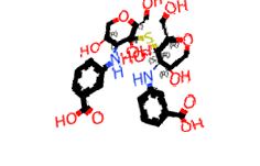 O=C(O)c1cccc(N[C@H]2[C@@H](O)CO[C@H](CO)[C@]2(O)S[C@@]2(O)[C@@H](CO)OC[C@H](O)[C@@H]2Nc2cccc(C(=O)O)c2)c1